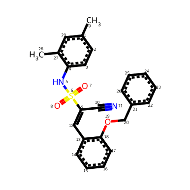 Cc1ccc(NS(=O)(=O)/C(C#N)=C/c2ccccc2OCc2ccccc2)c(C)c1